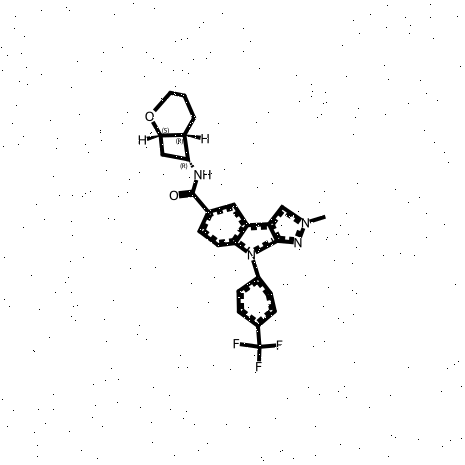 Cn1cc2c3cc(C(=O)N[C@@H]4C[C@@H]5OCCC[C@@H]54)ccc3n(-c3ccc(C(F)(F)F)cc3)c2n1